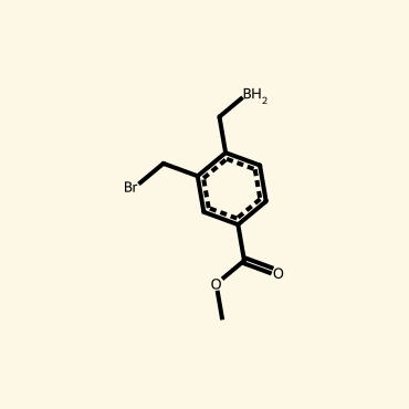 BCc1ccc(C(=O)OC)cc1CBr